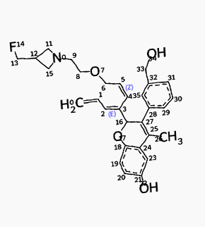 C=C/C=C(\C=C/COCCN1CC(CF)C1)C1Oc2ccc(O)cc2C(C)=C1c1cccc(CO)c1